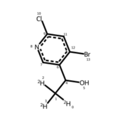 [2H]C([2H])([2H])C(O)c1cnc(Cl)cc1Br